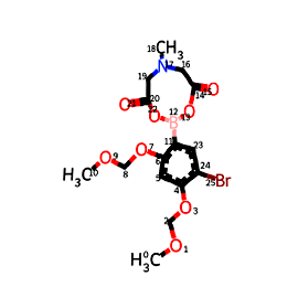 COCOc1cc(OCOC)c(B2OC(=O)CN(C)CC(=O)O2)cc1Br